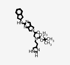 CC(C)(C)OC(=O)N(CCC1=NNNC1)CC(=O)N1Cc2cnc(NC3Cc4ccccc4C3)nc2C1